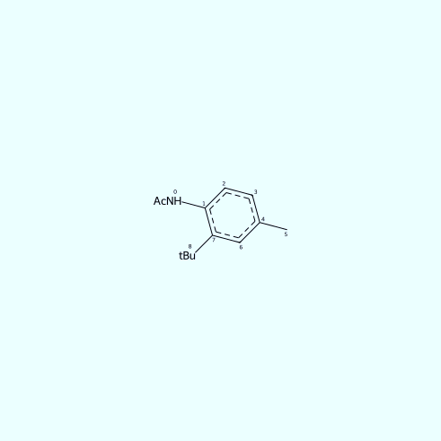 CC(=O)Nc1ccc(C)cc1C(C)(C)C